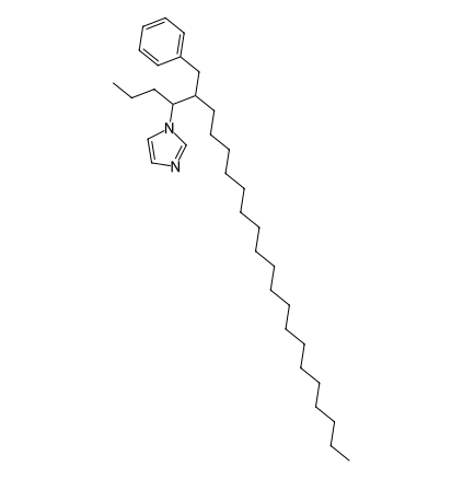 CCCCCCCCCCCCCCCCCCCC(Cc1ccccc1)C(CCC)n1ccnc1